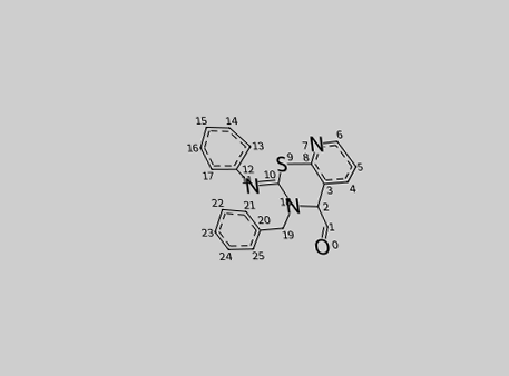 O=CC1c2cccnc2SC(=Nc2ccccc2)N1Cc1ccccc1